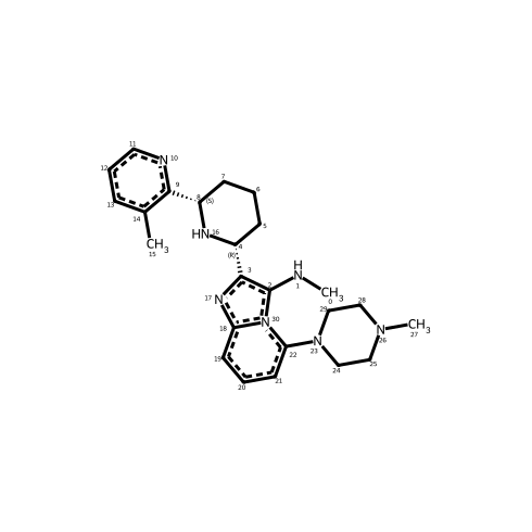 CNc1c([C@H]2CCC[C@@H](c3ncccc3C)N2)nc2cccc(N3CCN(C)CC3)n12